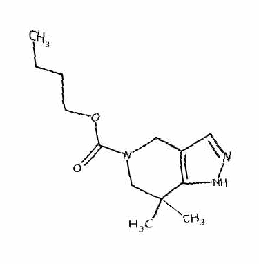 CCCCOC(=O)N1Cc2cn[nH]c2C(C)(C)C1